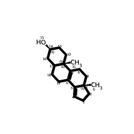 C[C@@]12CCC=C1C1=C(CC2)[C@@]2(C)CC[C@H](O)CC2CC1